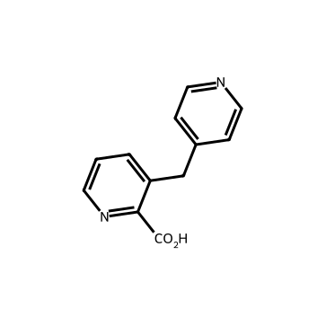 O=C(O)c1ncccc1Cc1ccncc1